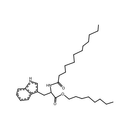 CCCCCCCCCCCC(=O)NC(Cc1c[nH]c2ccccc12)C(=O)OCCCCCCCC